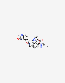 CN(C(=O)Cc1ccc2ncc(=O)[nH]c2c1)[C@H](CN1CCC(O)C1)c1cccc(C(=O)NCC(F)(F)F)c1